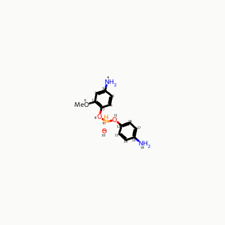 COc1cc(N)ccc1O[PH](=O)Oc1ccc(N)cc1